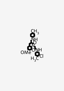 COc1ccc2cc(CNc3ccc(C)cc3)c(=O)n(CC(=O)Nc3ccc(C)c(Cl)c3)c2c1